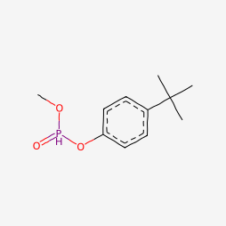 CO[PH](=O)Oc1ccc(C(C)(C)C)cc1